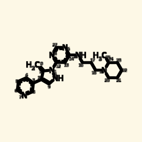 C=C1C(c2cccnc2)=CNN1c1cc(NCCCN2CCCCC2C)ncn1